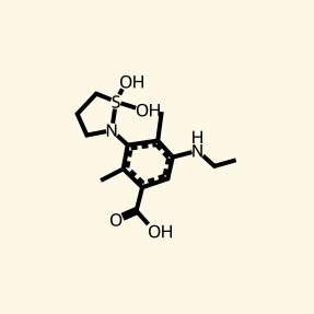 CCNc1cc(C(=O)O)c(C)c(N2CCCS2(O)O)c1C